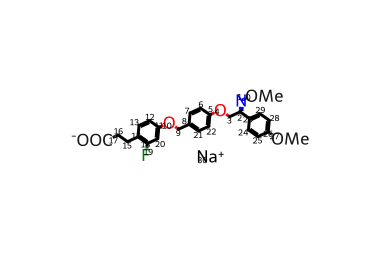 CON=C(COc1ccc(COc2ccc(CCC(=O)[O-])c(F)c2)cc1)c1ccc(OC)cc1.[Na+]